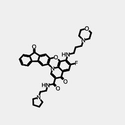 O=C(NCCN1CCCC1)c1cn2c3cc4c(cc3oc3c(NCCCN5CCOCC5)c(F)cc(c1=O)c32)c(=O)c1ccccc14